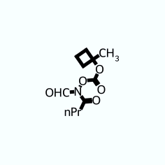 CCCC(=O)N(C=O)OC(=O)OC1(C)CCC1